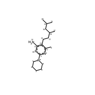 Cc1nc(N2CCCCC2)nc(N)c1CCC(C)CC(C)C